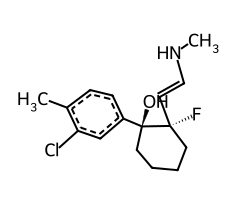 CNC=C[C@@]1(F)CCCC[C@]1(O)c1ccc(C)c(Cl)c1